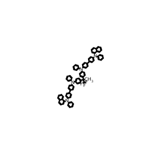 CC(c1ccc(N(c2ccccc2)c2ccc(-c3ccc(N(c4ccccc4)c4cccc5ccccc45)cc3)cc2)cc1)(c1ccc(N(c2ccccc2)c2ccc(-c3ccc(N(c4ccccc4)c4cccc5ccccc45)cc3)cc2)cc1)C(F)(F)F